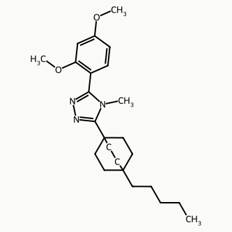 CCCCCC12CCC(c3nnc(-c4ccc(OC)cc4OC)n3C)(CC1)CC2